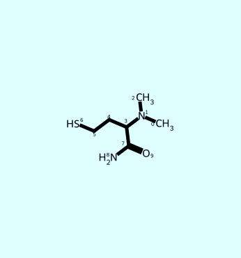 CN(C)C(CCS)C(N)=O